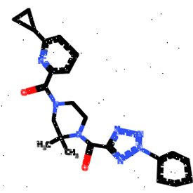 CC1(C)CN(C(=O)c2cccc(C3CC3)n2)CCN1C(=O)c1nnn(-c2ccccc2)n1